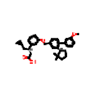 COc1cccc(-c2ccc(COc3cccc([C@H](CC(=O)O)CC4CC4)c3)cc2[C@@H]2CCCC2(C)C)c1